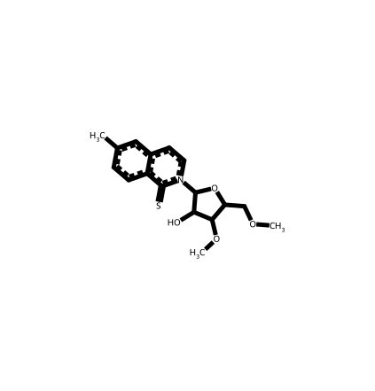 COCC1OC(n2ccc3cc(C)ccc3c2=S)C(O)C1OC